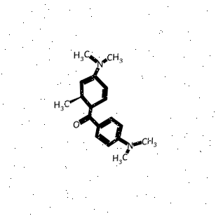 C[C@H]1C=C(N(C)C)C=CC1C(=O)c1ccc(N(C)C)cc1